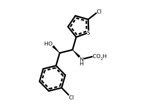 O=C(O)N[C@H](c1ccc(Cl)s1)[C@H](O)c1cccc(Cl)c1